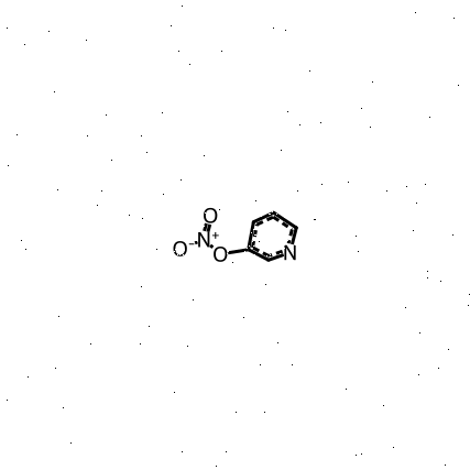 O=[N+]([O-])Oc1cccnc1